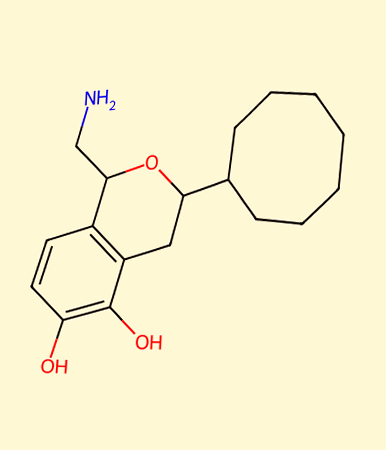 NCC1OC(C2CCCCCCC2)Cc2c1ccc(O)c2O